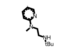 CN(CCNC(C)(C)C)c1cc[c]cn1